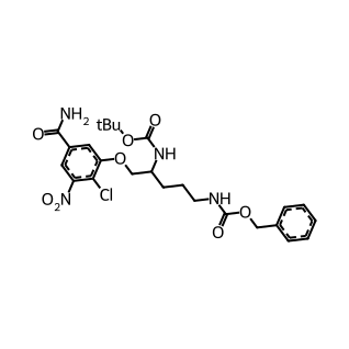 CC(C)(C)OC(=O)NC(CCCNC(=O)OCc1ccccc1)COc1cc(C(N)=O)cc([N+](=O)[O-])c1Cl